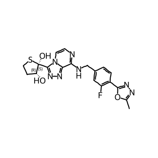 Cc1nnc(-c2ccc(CNc3nccn4c([C@]5(O)SCC[C@H]5O)nnc34)cc2F)o1